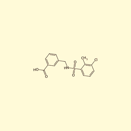 Cc1c(Cl)cccc1S(=O)(=O)NCc1cccc(C(=O)O)c1